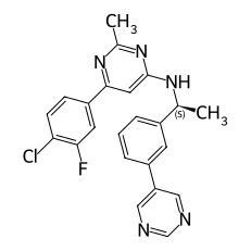 Cc1nc(N[C@@H](C)c2cccc(-c3cncnc3)c2)cc(-c2ccc(Cl)c(F)c2)n1